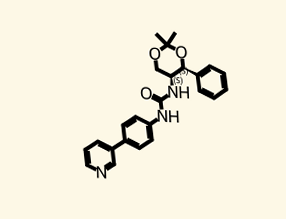 CC1(C)OC[C@H](NC(=O)Nc2ccc(-c3cccnc3)cc2)[C@H](c2ccccc2)O1